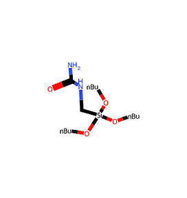 CCCCO[Si](CNC(N)=O)(OCCCC)OCCCC